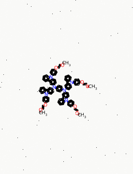 COCCOc1ccc(-n2c3ccccc3c3cc(N(c4ccc(N(c5ccc6c(c5)c5ccccc5n6-c5ccc(OCCOC)cc5)c5ccc6c(c5)c5ccccc5n6-c5ccc(OCCOC)cc5)cc4)c4ccc5c(c4)c4ccccc4n5-c4ccc(OCCOC)cc4)ccc32)cc1